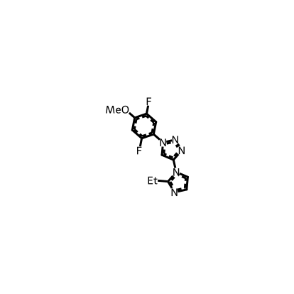 CCc1nccn1-c1cn(-c2cc(F)c(OC)cc2F)nn1